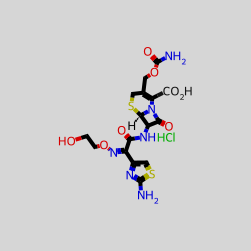 Cl.NC(=O)OCC1=C(C(=O)O)N2C(=O)C(NC(=O)/C(=N\OCCO)c3csc(N)n3)[C@H]2SC1